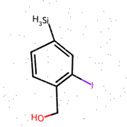 OCc1ccc([SiH3])cc1I